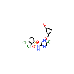 O=Cc1cccc(CON2CC(NS(=O)(=O)c3cccc(Cl)c3Cl)=NC=C2Cl)c1